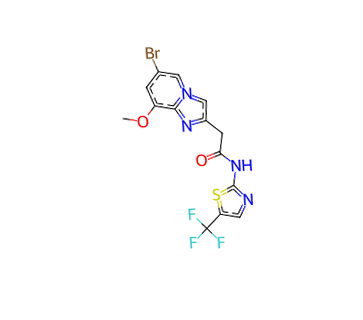 COc1cc(Br)cn2cc(CC(=O)Nc3ncc(C(F)(F)F)s3)nc12